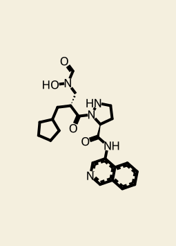 O=CN(O)C[C@@H](CC1CCCC1)C(=O)N1NCC[C@H]1C(=O)Nc1cncc2ccccc12